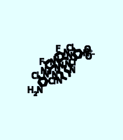 Cc1cc(N(c2ncc(F)c3nn(-c4c(Cl)cc(N)cc4Cl)cc23)N(c2cc(C)ncn2)c2ncc(F)c3nn(-c4c(Cl)cc([N+](=O)[O-])cc4Cl)cc23)ncn1